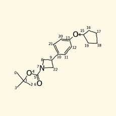 CC(C)(C)OC(=O)N1CC(c2ccc(OC3CCCC3)cc2)C1